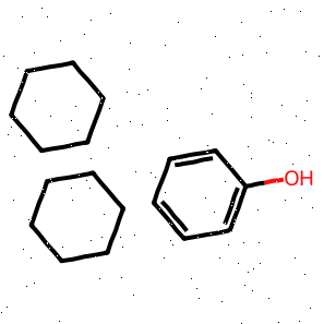 C1CCCCC1.C1CCCCC1.Oc1ccccc1